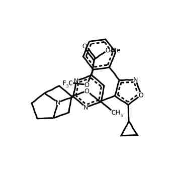 COC(=O)c1cc(C)nc(N2C3CCC2CC(OCc2c(-c4ccccc4OC(F)(F)F)noc2C2CC2)C3)n1